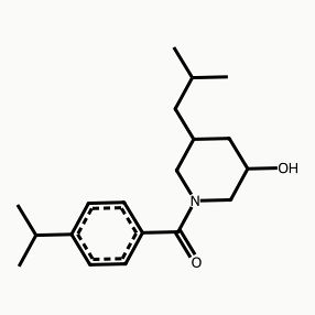 CC(C)CC1CC(O)CN(C(=O)c2ccc(C(C)C)cc2)C1